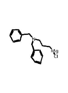 [Cl][Mg][CH2]CCN(Cc1ccccc1)Cc1ccccc1